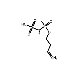 C=CCCOP(=O)(F)NS(=O)(=O)O